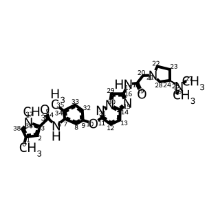 Cc1cc(C(=O)Nc2cc(Oc3ccc4nc(NC(=O)CN5CC[C@@H](N(C)C)C5)cn4n3)ccc2C)n(C)c1